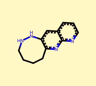 c1cnc2nc3c(cc2c1)NNCCCC3